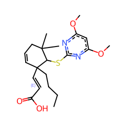 CCCCC1(/C=C/C(=O)O)C=CCC(C)(C)C1Sc1nc(OC)cc(OC)n1